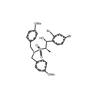 COc1ccc(CN(Cc2ccc(OC)cc2)S(=O)(=O)[C@H](C)[C@@H](O)c2ccc(Br)cc2Br)cc1